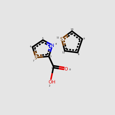 O=C(O)c1nccs1.c1ccsc1